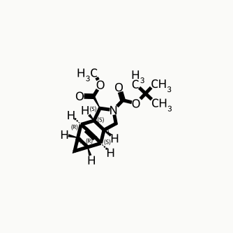 COC(=O)[C@@H]1[C@H]2[C@H]3C=C[C@@H]([C@H]2CN1C(=O)OC(C)(C)C)[C@@H]1C[C@H]31